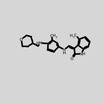 Cc1cc(NC=C2C(=O)Nc3cccc(C)c32)ccc1NCC1CCOCC1